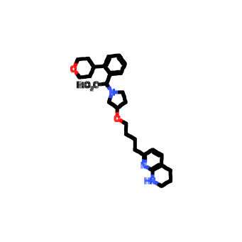 CCOC(=O)C(c1ccccc1C1CCOCC1)N1CCC(OCCCCc2ccc3c(n2)NCCC3)C1